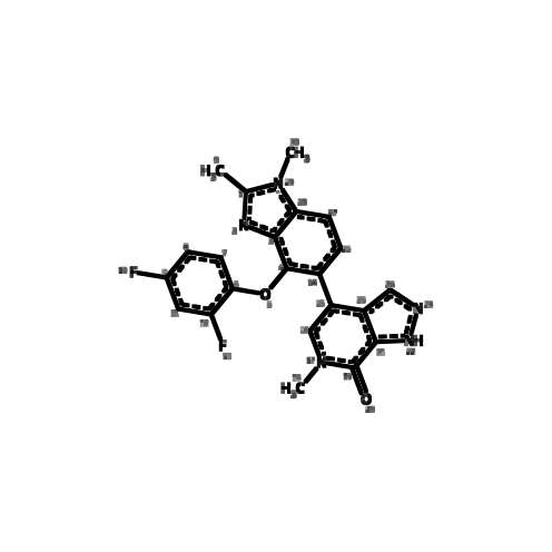 Cc1nc2c(Oc3ccc(F)cc3F)c(-c3cn(C)c(=O)c4[nH]ncc34)ccc2n1C